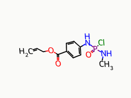 C=CCOC(=O)c1ccc(NP(=O)(Cl)NC)cc1